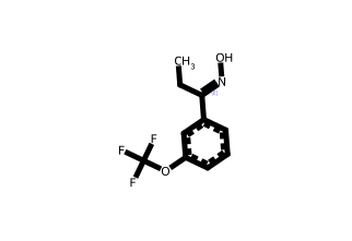 CC/C(=N\O)c1cccc(OC(F)(F)F)c1